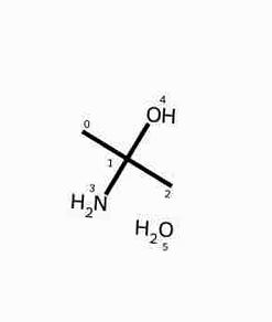 CC(C)(N)O.O